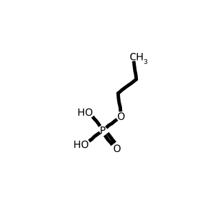 CCCOP(=O)(O)O